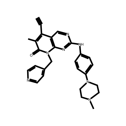 C#Cc1c(C)c(=O)n(Cc2ccncc2)c2nc(Nc3ccc(N4CCN(C)CC4)cc3)ncc12